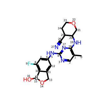 Cc1cnc(Nc2cc(F)c3c(c2)COB3O)nc1NC1COCCC1C#N